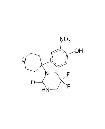 O=C1NCC(F)(F)CN1C1(c2ccc(O)c([N+](=O)[O-])c2)CCOCC1